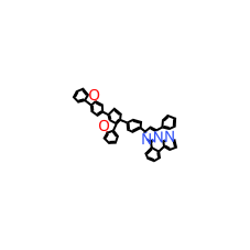 c1ccc(-c2cc(-c3ccc(-c4ccc(-c5ccc6c(c5)oc5ccccc56)c5oc6ccccc6c45)cc3)nc(-c3ccccc3-c3cccnc3)n2)cc1